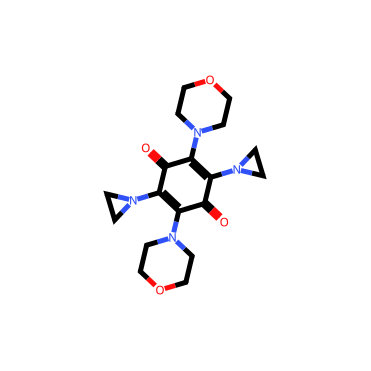 O=C1C(N2CCOCC2)=C(N2CC2)C(=O)C(N2CCOCC2)=C1N1CC1